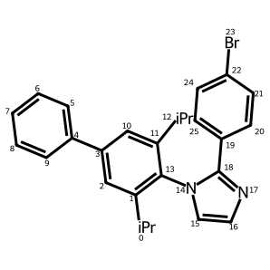 CC(C)c1cc(-c2ccccc2)cc(C(C)C)c1-n1ccnc1-c1ccc(Br)cc1